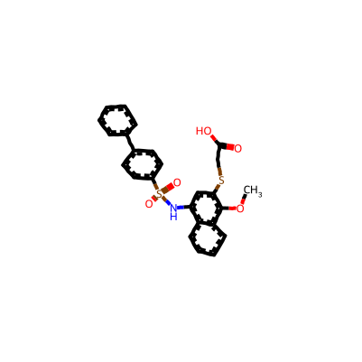 COc1c(SCC(=O)O)cc(NS(=O)(=O)c2ccc(-c3ccccc3)cc2)c2ccccc12